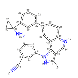 Cc1nn(-c2cccc(C#N)c2)c2c1cnc1ccc(-c3cccc(C4(N)CC4)c3)cc12